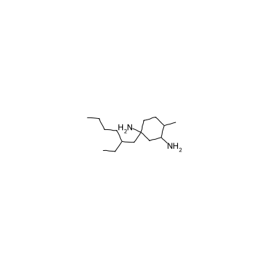 CCCCC(CC)CC1(N)CCC(C)C(N)C1